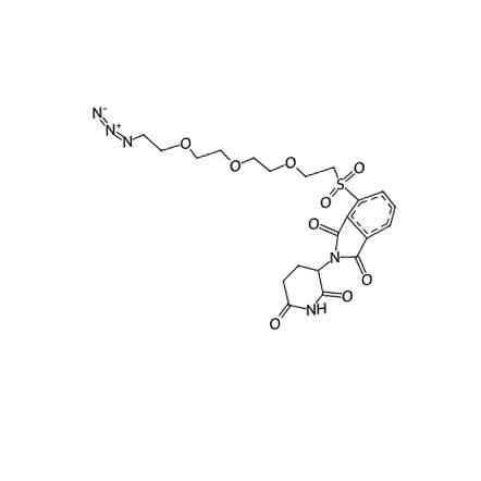 [N-]=[N+]=NCCOCCOCCOCCS(=O)(=O)c1cccc2c1C(=O)N(C1CCC(=O)NC1=O)C2=O